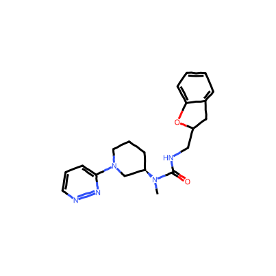 CN(C(=O)NCC1Cc2ccccc2O1)[C@@H]1CCCN(c2cccnn2)C1